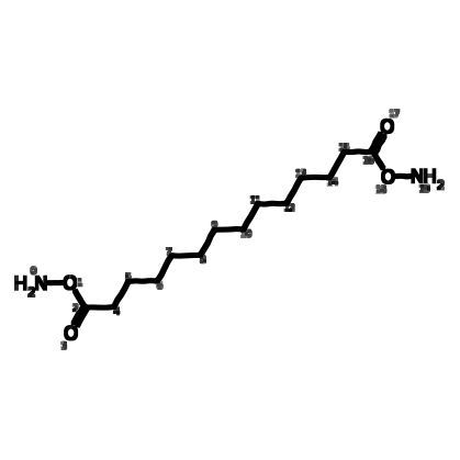 NOC(=O)CCCCCCCCCCCCC(=O)ON